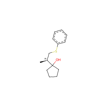 C[C@@H](CSc1ccccc1)C1(O)CCCC1